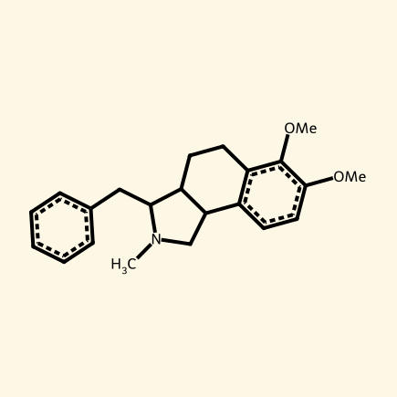 COc1ccc2c(c1OC)CCC1C2CN(C)C1Cc1ccccc1